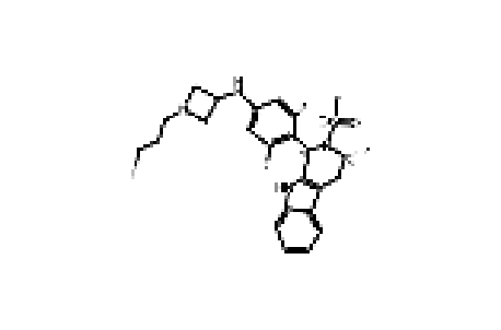 C[C@@H]1Cc2c([nH]c3ccccc23)[C@@H](c2c(F)cc(NC3CN(CCCF)C3)cc2F)N1S(C)(=O)=O